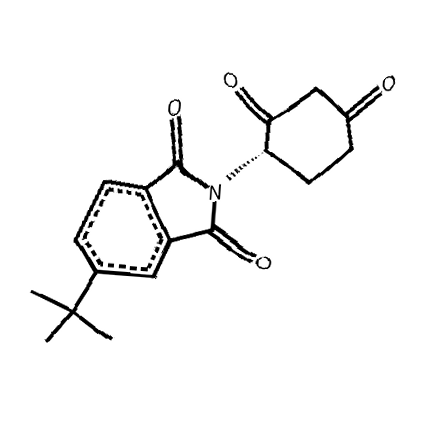 CC(C)(C)c1ccc2c(c1)C(=O)N([C@H]1CCC(=O)CC1=O)C2=O